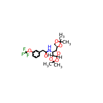 CC1(C)O[C@H]2O[C@H]([C@H]3COC(C)(C)O3)[C@@H](NC(=O)Cc3cccc(OC(F)(F)F)c3)[C@H]2O1